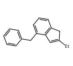 CCC1=Cc2c(cccc2Cc2ccccc2)C1